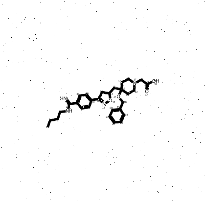 CCCCNC(=N)c1ccc(C2=NOC(CC3(OCc4ccccc4)CCN(CC(=O)O)CC3)C2)cc1